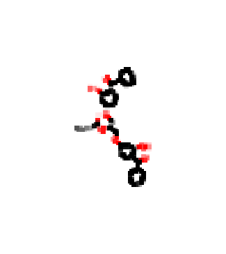 CCCCCCCCCC(=O)OC(COc1ccc(C(=O)c2ccccc2)c(O)c1)COc1ccc(C(=O)c2ccccc2)c(O)c1